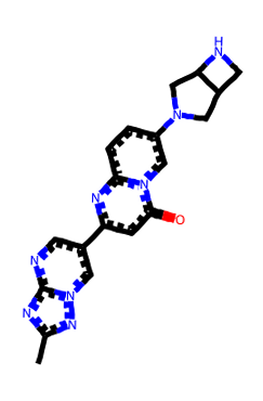 Cc1nc2ncc(-c3cc(=O)n4cc(N5CC6CNC6C5)ccc4n3)cn2n1